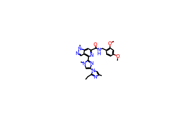 CCc1nc(C)cn1-c1cn(C)c(-c2nc(C(=O)NCc3ccc(OC)cc3OC)cc3c2cnn3C)n1